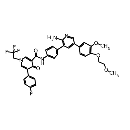 COCCOc1ccc(-c2cnc(N)c(-c3ccc(NC(=O)c4cn(CC(F)(F)F)cc(-c5ccc(F)cc5)c4=O)cc3)c2)cc1OC